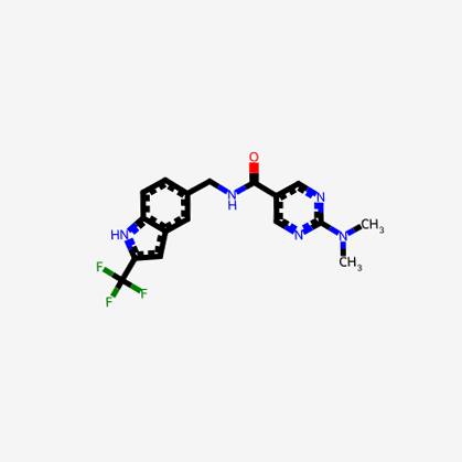 CN(C)c1ncc(C(=O)NCc2ccc3[nH]c(C(F)(F)F)cc3c2)cn1